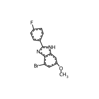 COc1cc(Br)c2nc(-c3ccc(F)cc3)[nH]c2c1